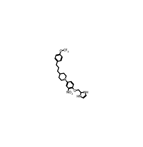 O=[N+]([O-])c1cc(N2CCC(CCCc3ccc(OC(F)(F)F)cc3)CC2)ccc1OCC1NC=CN1